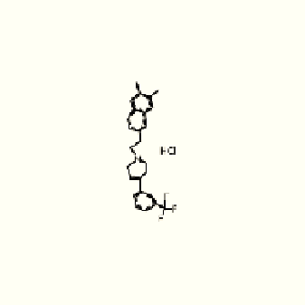 Cc1cc2ccc(CCN3CC=C(c4cccc(C(F)(F)F)c4)CC3)cc2cc1C.Cl